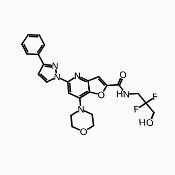 O=C(NCC(F)(F)CO)c1cc2nc(-n3ccc(-c4ccccc4)n3)cc(N3CCOCC3)c2o1